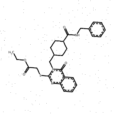 CCOC(=O)CSc1nc2ccccc2c(=O)n1CC1CCC(C(=O)NCc2ccccc2)CC1